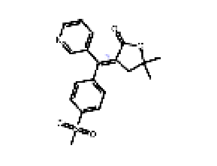 CC1(C)C/C(=C(\c2ccc(S(C)(=O)=O)cc2)c2cccnc2)C(=O)O1